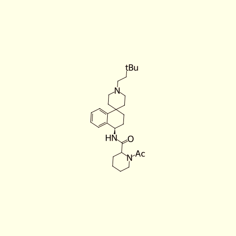 CC(=O)N1CCCCC1C(=O)N[C@@H]1CCC2(CCN(CCC(C)(C)C)CC2)c2ccccc21